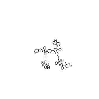 CC(NC(=O)C(N)C(C)C)C(=O)NCCCCN1N=C(c2ccc(NC(=O)N3Cc4ccncc4C3)cc2)CC(c2cccc3ncccc23)C1=O.O=C(O)C(F)(F)F